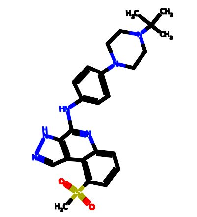 CC(C)(C)N1CCN(c2ccc(Nc3nc4cccc(S(C)(=O)=O)c4c4cn[nH]c34)cc2)CC1